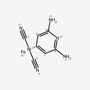 N#[C][Ni][C]#N.Nc1cccc(N)n1.[Fe]